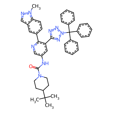 Cn1ncc2cc(-c3ncc(NC(=O)N4CCC(C(C)(C)C)CC4)cc3-c3nnn(C(c4ccccc4)(c4ccccc4)c4ccccc4)n3)ccc21